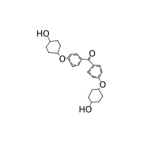 O=C(c1ccc(OC2CCC(O)CC2)cc1)c1ccc(OC2CCC(O)CC2)cc1